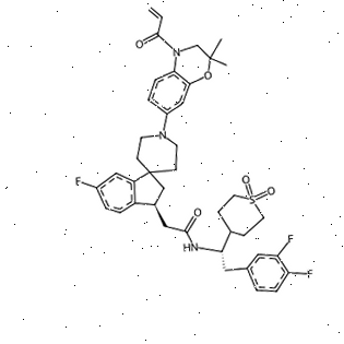 C=CC(=O)N1CC(C)(C)Oc2cc(N3CCC4(CC3)C[C@@H](CC(=O)N[C@@H](Cc3ccc(F)c(F)c3)C3CCS(=O)(=O)CC3)c3ccc(F)cc34)ccc21